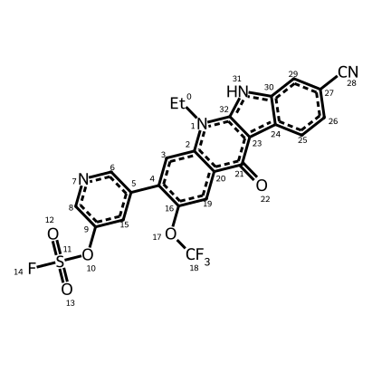 CCn1c2cc(-c3cncc(OS(=O)(=O)F)c3)c(OC(F)(F)F)cc2c(=O)c2c3ccc(C#N)cc3[nH]c21